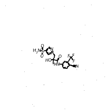 CC(O)(Cn1cc(S(N)(=O)=O)cn1)C(=O)Nc1ccc(C#N)c(C(F)(F)F)c1